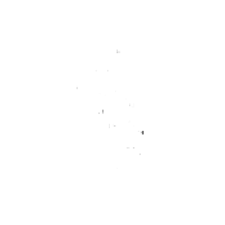 Oc1c(F)cc(Br)cc1NC(=S)NC1CCCCC1